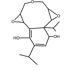 CC(C)C1=CC(O)C2(C(C)C)C(=C1O)C1OC1COCC1OC12